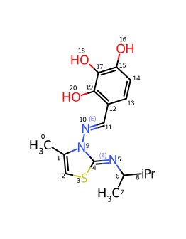 Cc1cs/c(=N\C(C)C(C)C)n1/N=C/c1ccc(O)c(O)c1O